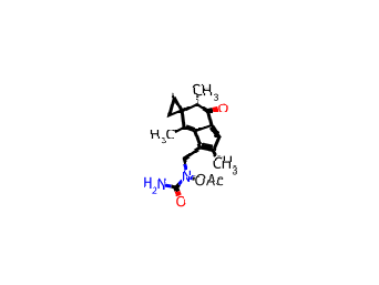 CC(=O)ON(CC1=C(C)C=C2C(=O)[C@@H](C)C3(CC3)C(C)=C21)C(N)=O